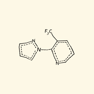 FC(F)(F)c1cccnc1-n1cccn1